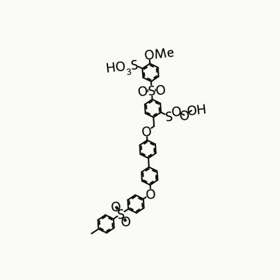 COc1ccc(S(=O)(=O)c2ccc(COc3ccc(-c4ccc(Oc5ccc(S(=O)(=O)c6ccc(C)cc6)cc5)cc4)cc3)c(SOOO)c2)cc1S(=O)(=O)O